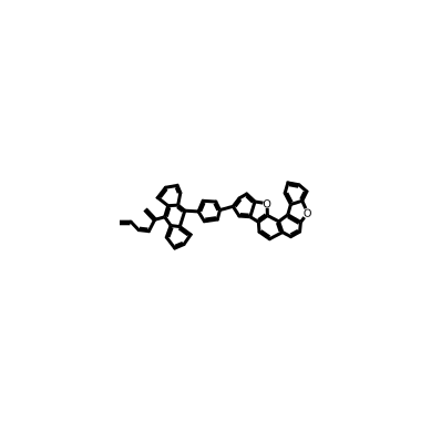 C=C/C=C\C(=C)c1c2ccccc2c(-c2ccc(-c3ccc4oc5c(ccc6ccc7oc8ccccc8c7c65)c4c3)cc2)c2ccccc12